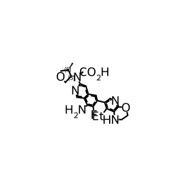 CCc1c(-c2cc3cc(N(C(=O)O)[C@@H]4COC[C@H]4C)ncc3c(N)c2F)cnc2c1NCCO2